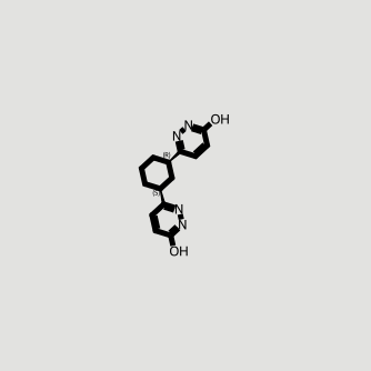 Oc1ccc([C@@H]2CCC[C@H](c3ccc(O)nn3)C2)nn1